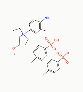 CC[N+](CC)(CCOC)c1ccc(N)c(C)c1.Cc1ccc(S(=O)(=O)O)cc1.Cc1ccc(S(=O)(=O)O)cc1